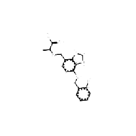 CC(NCc1ccc(OCc2ccccc2Br)c2c1OCO2)C(N)=O